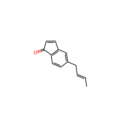 C/C=C/Cc1ccc2c(c1)C=CC2=O